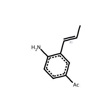 C/C=C/c1cc(C(C)=O)ccc1N